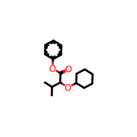 CC(C)C(OC1CCCCC1)C(=O)Oc1ccccc1